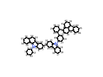 c1ccc(-n2c3ccc(-c4ccc5c(c4)c4ccccc4n5-c4cccc(-c5ccccc5-c5ccc6c7c(cccc57)-c5ccccc5-6)c4)cc3c3ccc4ccccc4c32)cc1